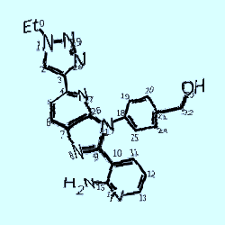 CCn1cc(-c2ccc3nc(-c4cccnc4N)n(-c4ccc(CO)cc4)c3n2)nn1